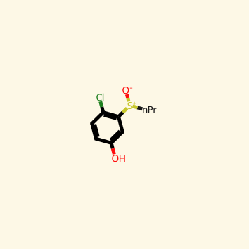 CCC[S+]([O-])c1cc(O)ccc1Cl